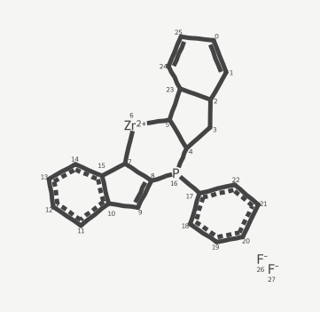 C1=CC2CC3[CH]([Zr+2][CH]4C(=Cc5ccccc54)P3c3ccccc3)C2C=C1.[F-].[F-]